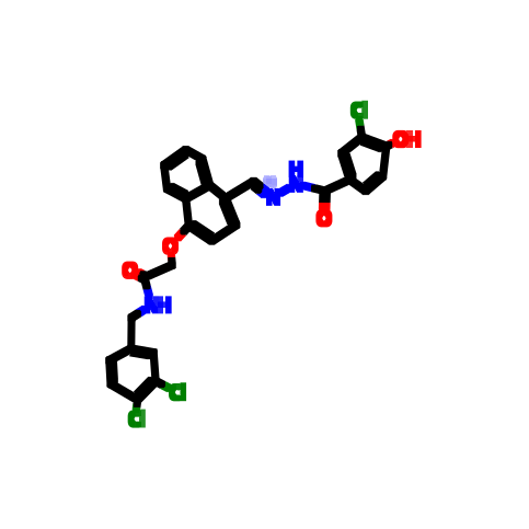 O=C(COc1ccc(/C=N/NC(=O)c2ccc(O)c(Cl)c2)c2ccccc12)NCc1ccc(Cl)c(Cl)c1